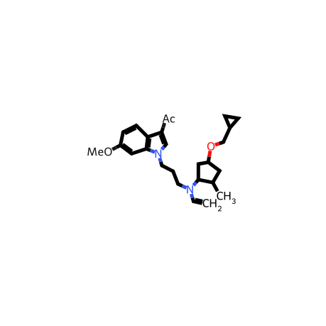 C=CN(CCCn1cc(C(C)=O)c2ccc(OC)cc21)C1CC(OCC2CC2)CC1C